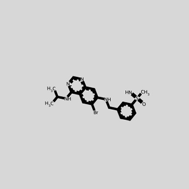 CC(C)Nc1ncnc2cc(NCc3cccc(S(C)(=N)=O)c3)c(Br)cc12